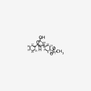 CCS(=O)(=O)c1ccc([C@H](CCO)NC(=O)c2ccccc2)cc1